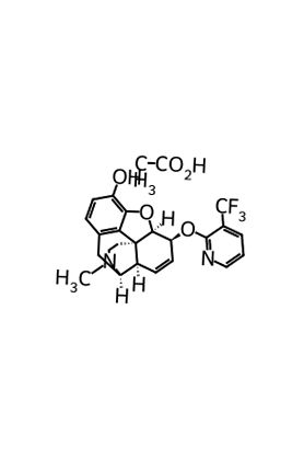 CC(=O)O.CN1CC[C@]23c4c5ccc(O)c4O[C@H]2[C@@H](Oc2ncccc2C(F)(F)F)C=C[C@H]3[C@H]1C5